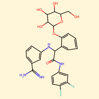 N=C(N)c1cccc(NC(C(=O)Nc2ccc(F)c(F)c2)c2ccccc2OC2OC(CO)C(O)C(O)C2O)c1